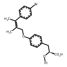 CCO[C@@H](Cc1ccc(OC/C(C)=C(/C)c2ccc(Br)cc2)cc1)C(=O)O